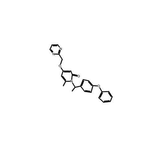 Cc1cc(OCc2ncccn2)cc(=O)n1C(C)c1ccc(Oc2ccccc2)cc1